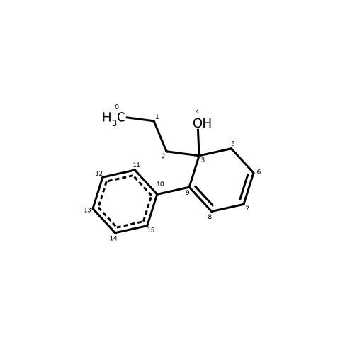 CCCC1(O)CC=CC=C1c1ccccc1